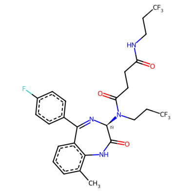 Cc1cccc2c1NC(=O)[C@H](N(CCC(F)(F)F)C(=O)CCC(=O)NCCC(F)(F)F)N=C2c1ccc(F)cc1